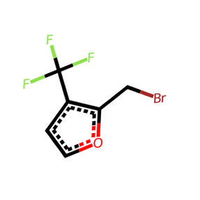 FC(F)(F)c1ccoc1CBr